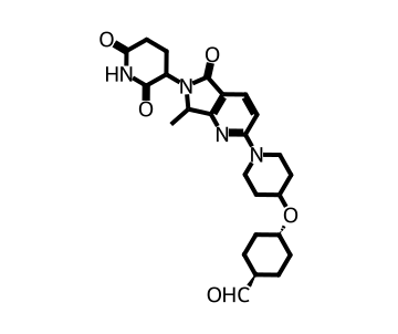 CC1c2nc(N3CCC(O[C@H]4CC[C@H](C=O)CC4)CC3)ccc2C(=O)N1C1CCC(=O)NC1=O